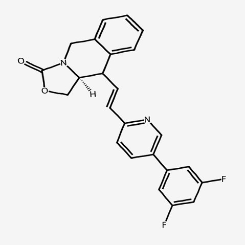 O=C1OC[C@@H]2C(/C=C/c3ccc(-c4cc(F)cc(F)c4)cn3)c3ccccc3CN12